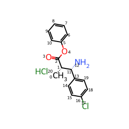 C[C@H](C(=O)Oc1ccccc1)[C@H](N)c1ccc(Cl)cc1.Cl